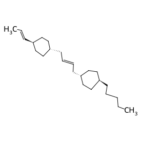 CC=C[C@H]1CC[C@H](CC=CC[C@H]2CC[C@H](CCCCC)CC2)CC1